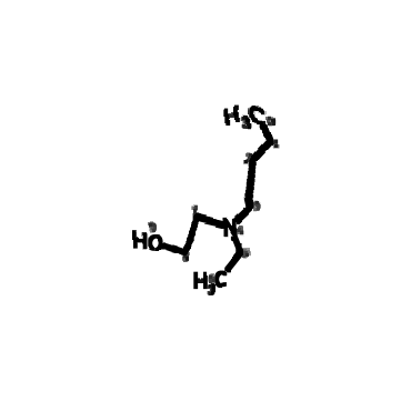 CCCCN(CC)CCO